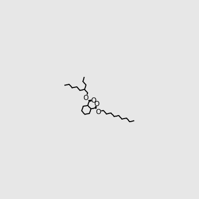 CCCCCCCCCOC(=O)C1CCCCC1C(=O)OCC(CCC)CCCCC